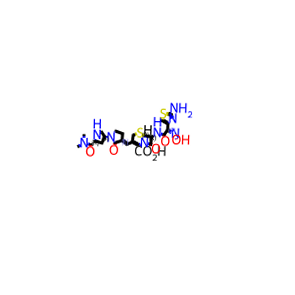 CN(C)C(=O)[C@H]1C[C@H](N2CC/C(=C\C3=C(C(=O)O)N4C(=O)[C@@H](NC(=O)/C(=N\O)c5csc(N)n5)[C@H]4SC3)C2=O)CN1